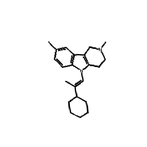 CC(=Cn1c2c(c3cc(C)ccc31)CN(C)CC2)C1CCCCC1